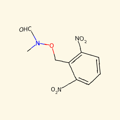 CN(C=O)OCc1c([N+](=O)[O-])cccc1[N+](=O)[O-]